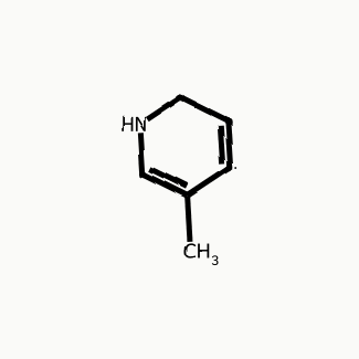 CC1=CNCC=[C]1